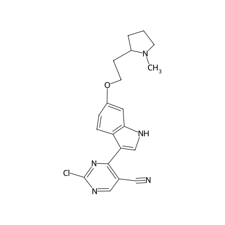 CN1CCCC1CCOc1ccc2c(-c3nc(Cl)ncc3C#N)c[nH]c2c1